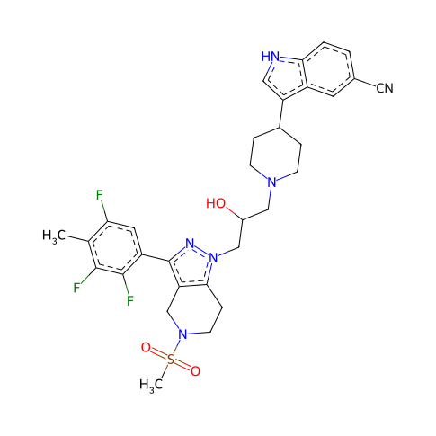 Cc1c(F)cc(-c2nn(CC(O)CN3CCC(c4c[nH]c5ccc(C#N)cc45)CC3)c3c2CN(S(C)(=O)=O)CC3)c(F)c1F